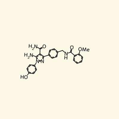 COc1ccccc1C(=O)NCc1ccc(-c2nn(-c3ccc(O)cc3)c(N)c2C(N)=O)cc1